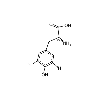 [3H]c1cc(C[C@H](N)C(=O)O)cc([3H])c1O